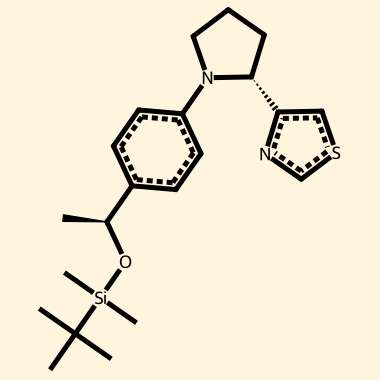 C[C@H](O[Si](C)(C)C(C)(C)C)c1ccc(N2CCC[C@@H]2c2cscn2)cc1